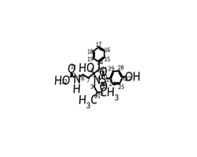 CC(C)CN(C(O)(CCNC(=O)O)Cc1ccccc1)S(=O)(=O)c1ccc(O)cc1